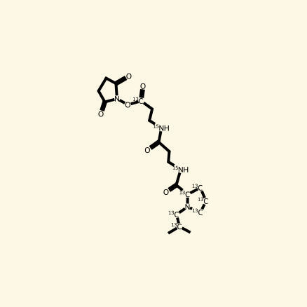 C[13CH](C)[13CH2]N1[13CH2][13CH2][13CH2][13CH]1C(=O)[15NH]CCC(=O)[15NH]CC[13C](=O)ON1C(=O)CCC1=O